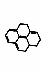 [c]1[c]c2c3c(c1)=CCC1CCC=C(CC2)C=31